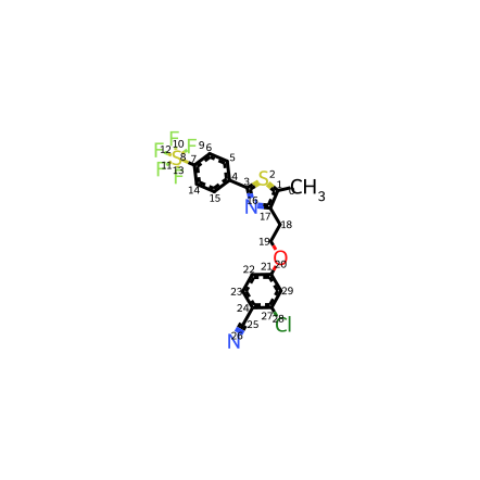 Cc1sc(-c2ccc(S(F)(F)(F)(F)F)cc2)nc1CCOc1ccc(C#N)c(Cl)c1